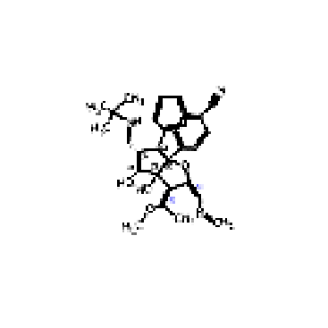 C=N/C=C1/O[C@@]2(c3ccc(C#N)cc3)[C@H](c3ccccc3)[C@@H](CNC(C)(C)C)[C@@H](O)[C@@]2(O)/C1=C(/C)OC